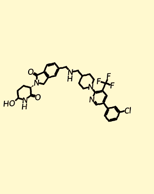 O=C1NC(O)CC[C@@H]1N1Cc2cc(CNCC3CCN(c4ncc(-c5cccc(Cl)c5)cc4C(F)(F)F)CC3)ccc2C1=O